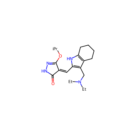 CCN(CC)Cc1c(C=C2C(=O)NN=C2OC(C)C)[nH]c2c1CCCC2